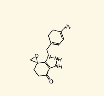 CC(C)C1=CC=C(CN2NNC3=C2C2(CCC3=O)CO2)CC1